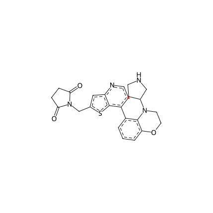 O=C1CCC(=O)N1Cc1cc2nccc(-c3cccc4c3N(C3CCNC3)CCO4)c2s1